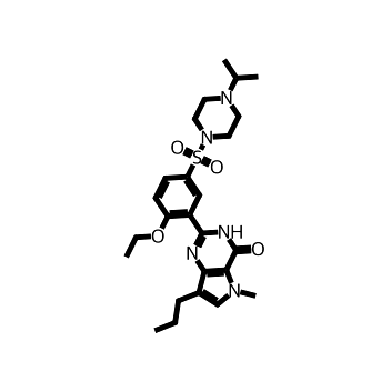 CCCc1cn(C)c2c(=O)[nH]c(-c3cc(S(=O)(=O)N4CCN(C(C)C)CC4)ccc3OCC)nc12